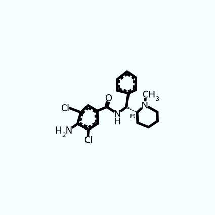 CN1CCCC[C@@H]1C(NC(=O)c1cc(Cl)c(N)c(Cl)c1)c1ccccc1